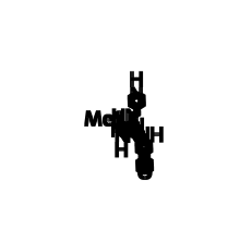 CSc1n[nH]c2nc(Nc3ccc(N4CCOCC4)cc3)nc(NCC3CCNCC3)c12